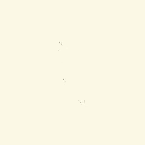 CC#N.NCCCCCCCCCN